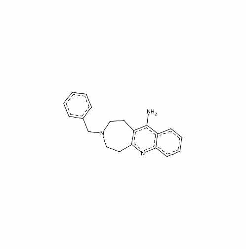 Nc1c2c(nc3ccccc13)CCN(Cc1ccccc1)CC2